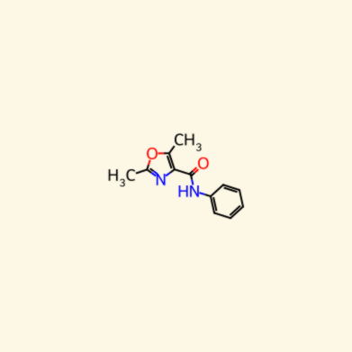 Cc1nc(C(=O)Nc2ccccc2)c(C)o1